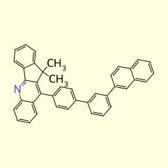 CC1(C)c2ccccc2-c2nc3ccccc3c(-c3ccc(-c4cccc(-c5ccc6ccccc6c5)c4)cc3)c21